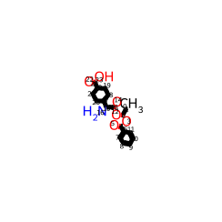 CCC(OC(=O)c1ccccc1)OC(=O)C(N)C1CCC(C(=O)O)CC1